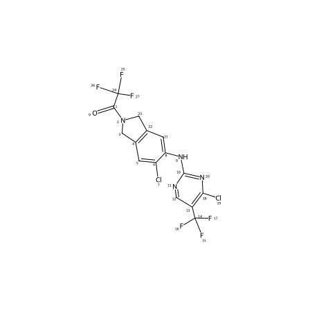 O=C(N1Cc2cc(Cl)c(Nc3ncc(C(F)(F)F)c(Cl)n3)cc2C1)C(F)(F)F